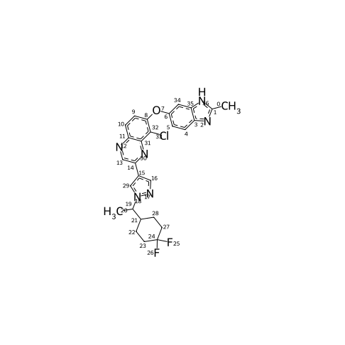 Cc1nc2ccc(Oc3ccc4ncc(-c5cnn(C(C)C6CCC(F)(F)CC6)c5)nc4c3Cl)cc2[nH]1